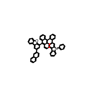 c1ccc(-n2c3ccccc3c3ccc(-c4ccccc4-c4c5ccccc5c(-c5cc(-c6ccc7ccccc7c6)cc6c5oc5ccccc56)c5ccccc45)cc32)cc1